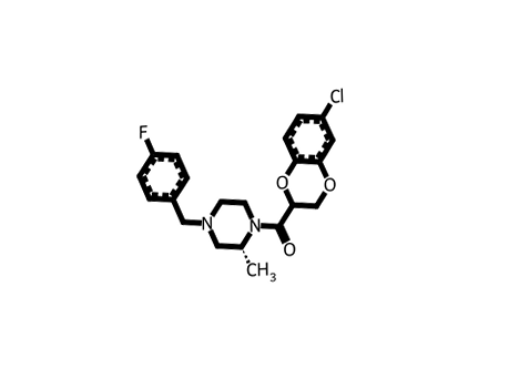 C[C@@H]1CN(Cc2ccc(F)cc2)CCN1C(=O)C1COc2cc(Cl)ccc2O1